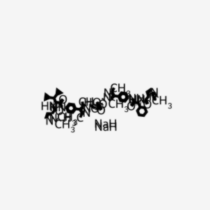 Cc1nn(COP(=O)(O)OCn2nc(C)c(-c3ccc(NC(=O)[C@@H](NC(=O)c4ccnn4C(C)C)C(C4CC4)C4CC4)cc3)c2C)c(C)c1-c1ccc(NC(=O)[C@@H](NC(=O)c2ccnn2C)C2CCCCC2)cc1.[NaH].[NaH]